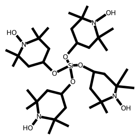 CC1(C)CC(O[Si](OC2CC(C)(C)N(O)C(C)(C)C2)(OC2CC(C)(C)N(O)C(C)(C)C2)OC2CC(C)(C)N(O)C(C)(C)C2)CC(C)(C)N1O